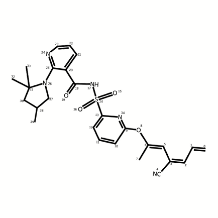 C=C/C=C(C#N)\C=C(/C)Oc1cccc(S(=O)(=O)NC(=O)c2cccnc2N2CC(C)CC2(C)C)n1